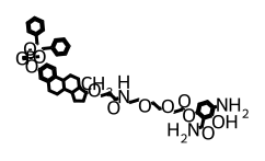 CC12CCC3c4ccc(OP(=O)(OCc5ccccc5)OCc5ccccc5)cc4CCC3C1CCC2OCCC(=O)NCCOCCOCC(=O)Oc1ccc(N)c(O)c1C(N)=O